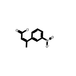 C/C(=C/C(=O)Cl)c1cccc([N+](=O)[O-])c1